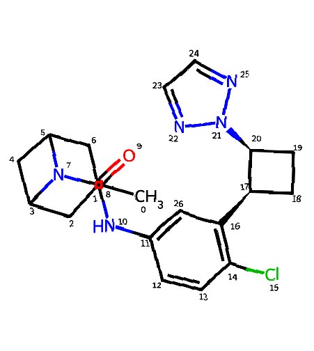 CC1CC2CC(C1)N2C(=O)Nc1ccc(Cl)c([C@@H]2CC[C@@H]2n2nccn2)c1